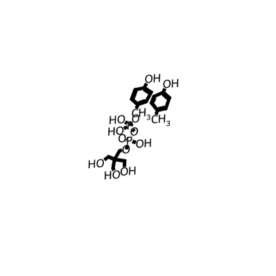 Cc1ccc(O)cc1.Cc1ccc(O)cc1.O=P(O)(O)OP(=O)(O)OCC(CO)(CO)CO